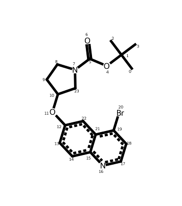 CC(C)(C)OC(=O)N1CCC(Oc2ccc3nccc(Br)c3c2)C1